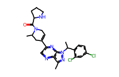 Cc1nn(C(C)c2ccc(Cl)cc2Cl)c2nc(C3=CCN(C(=O)C4CCCN4)C(C)C3)cnc12